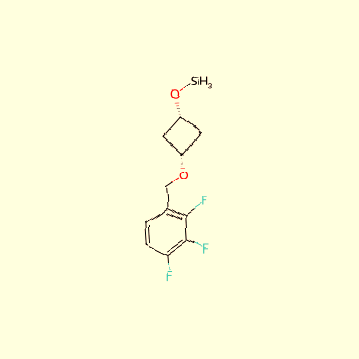 Fc1ccc(CO[C@H]2C[C@@H](O[SiH3])C2)c(F)c1F